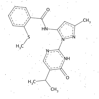 CSc1ccccc1C(=O)Nc1cc(C)nn1-c1ncc(C(C)C)c(=O)[nH]1